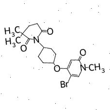 Cn1cc(Br)c(OC2CCC(N3C(=O)CCC(C)(C)C3=O)CC2)cc1=O